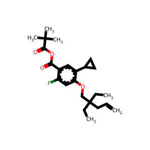 C=CCC(CC)(CC)COc1cc(F)c(C(=O)OC(=O)C(C)(C)C)cc1C1CC1